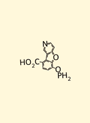 O=C(O)c1ccc(OP)c2oc3ccncc3c12